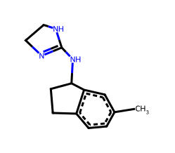 Cc1ccc2c(c1)C(NC1=NCCN1)CC2